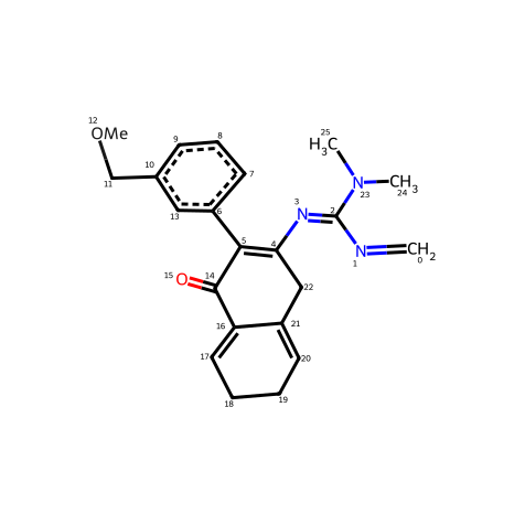 C=N/C(=N\C1=C(c2cccc(COC)c2)C(=O)C2=CCCC=C2C1)N(C)C